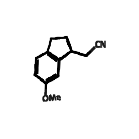 COc1ccc2c(c1)C(CC#N)CC2